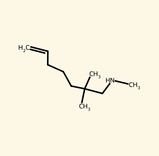 C=CCCCC(C)(C)CNC